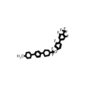 CC1CCC(c2ccc(C3CCC(C(F)(F)Oc4ccc(-c5cc(F)c(C(F)(F)F)c(F)c5)c(F)c4)CC3)cc2)CC1